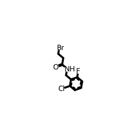 O=C(CCBr)NCc1c(F)cccc1Cl